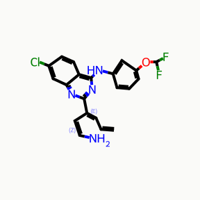 C=C/C=C(\C=C/N)c1nc(Nc2cccc(OC(F)F)c2)c2ccc(Cl)cc2n1